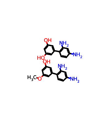 COc1cc(O)cc(-c2ccc(N)cc2N)c1.Nc1ccc(-c2cc(O)cc(O)c2)c(N)c1